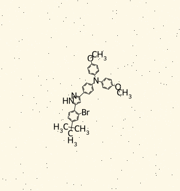 COc1ccc(N(c2ccc(OC)cc2)c2ccc(-c3cc(-c4ccc(C(C)(C)C)cc4Br)[nH]n3)cc2)cc1